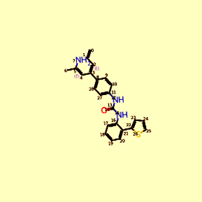 C=C/C=C(\C=C(\C)N)c1ccc(NC(=O)Nc2ccccc2-c2cccs2)cc1